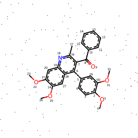 COc1ccc(-c2c(C(=O)c3ccccc3)c(C)nc3cc(OC)c(OC)cc23)cc1OC